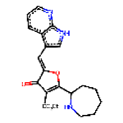 CCOC(=O)C1=C(C2CCCCCN2)OC(=Cc2c[nH]c3ncccc23)C1=O